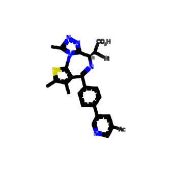 CCC(C(=O)O)[C@@H]1N=C(c2ccc(-c3cncc(C(C)=O)c3)cc2)c2c(sc(C)c2C)-n2c(C)nnc21